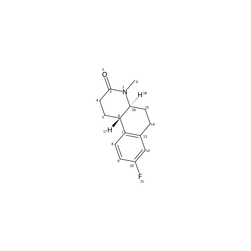 CN1C(=O)CC[C@H]2c3ccc(F)cc3CC[C@@H]21